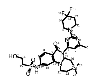 Cc1cc(NC(=O)c2ccc(NS(=O)(=O)CCO)cc2N2CC[Si](C)(C)CC2)nc(N2CCC(F)(F)CC2)n1